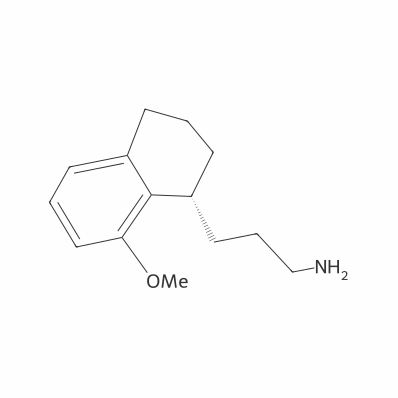 COc1cccc2c1[C@@H](CCCN)CCC2